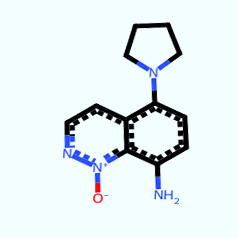 Nc1ccc(N2CCCC2)c2ccn[n+]([O-])c12